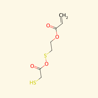 C=CC(=O)OCCSOC(=O)CS